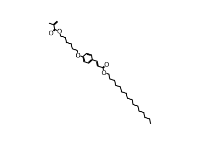 C=C(C)C(=O)OCCCCCCOc1ccc(/C=C/C(=O)OCCCCCCCCCCCCCCCC)cc1